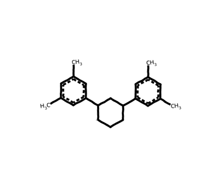 Cc1cc(C)cc(C2[CH]CCC(c3cc(C)cc(C)c3)C2)c1